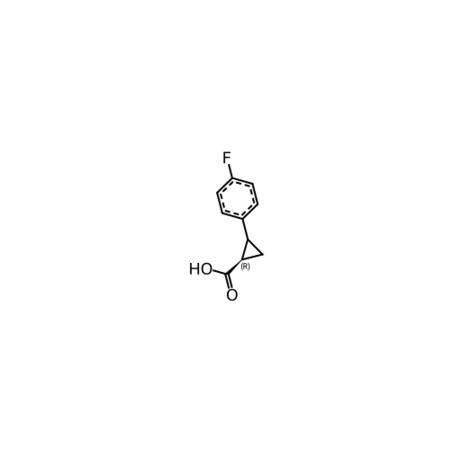 O=C(O)[C@@H]1CC1c1ccc(F)cc1